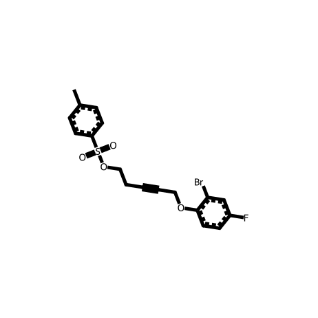 Cc1ccc(S(=O)(=O)OCCC#CCOc2ccc(F)cc2Br)cc1